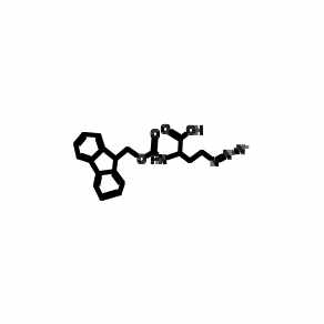 [N-]=[N+]=NCCC(NC(=O)OCC1c2ccccc2-c2ccccc21)C(=O)O